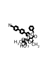 C=CC[C@H](C(=O)OCc1ccccc1)[C@H](C(=O)NC(CO)C(C)(C)C)n1ccc(-c2ccc(-c3ccc(C#N)cc3)cc2)c1